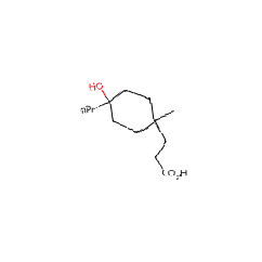 CCCC1(O)CCC(C)(CCC(=O)O)CC1